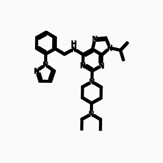 CCN(CC)C1CCN(c2nc(NCc3ccccc3-n3cccn3)c3ncn(C(C)C)c3n2)CC1